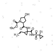 C=CC1CC1(NC(=O)C1CC(O)CN1C(=O)OC(C)(C)C)C(=O)NS(=O)(=O)C1(CC)CC1